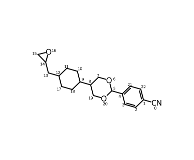 N#Cc1ccc(C2OCC(C3CCC(CC4CO4)CC3)CO2)cc1